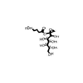 CCCCCCCCCCCCCC(=O)OC1(C(O)[C@H](O)[C@@H](O)[C@H](O)[C@H](O)CO)CO1